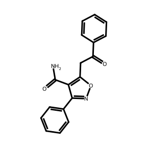 NC(=O)c1c(-c2ccccc2)noc1CC(=O)c1ccccc1